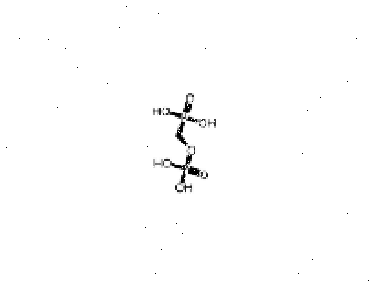 O=P(O)(O)COP(=O)(O)O